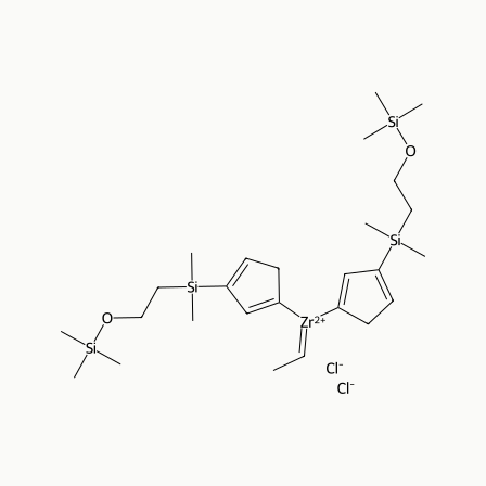 C[CH]=[Zr+2]([C]1=CC([Si](C)(C)CCO[Si](C)(C)C)=CC1)[C]1=CC([Si](C)(C)CCO[Si](C)(C)C)=CC1.[Cl-].[Cl-]